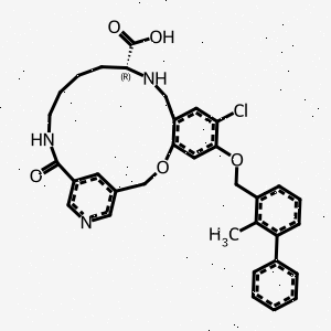 Cc1c(COc2cc3c(cc2Cl)CN[C@@H](C(=O)O)CCCCNC(=O)c2cncc(c2)CO3)cccc1-c1ccccc1